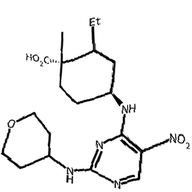 CCC1C[C@@H](Nc2nc(NC3CCOCC3)ncc2[N+](=O)[O-])CC[C@]1(C)C(=O)O